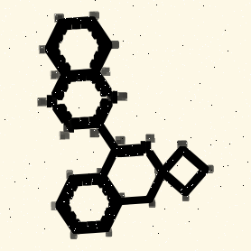 c1ccc2c(c1)CC1(CCC1)N=C2c1nnc2ccccc2n1